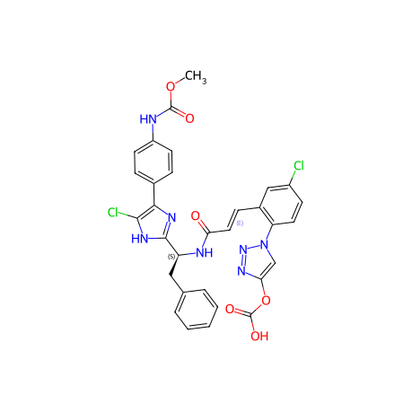 COC(=O)Nc1ccc(-c2nc([C@H](Cc3ccccc3)NC(=O)/C=C/c3cc(Cl)ccc3-n3cc(OC(=O)O)nn3)[nH]c2Cl)cc1